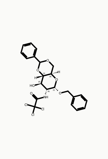 O=C(N[C@H]1[C@@H](OCc2ccccc2)O[C@@H]2COC(c3ccccc3)O[C@H]2[C@@H]1O)C(Cl)(Cl)Cl